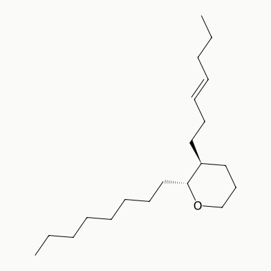 CCCC=CCC[C@H]1CCCO[C@@H]1CCCCCCCC